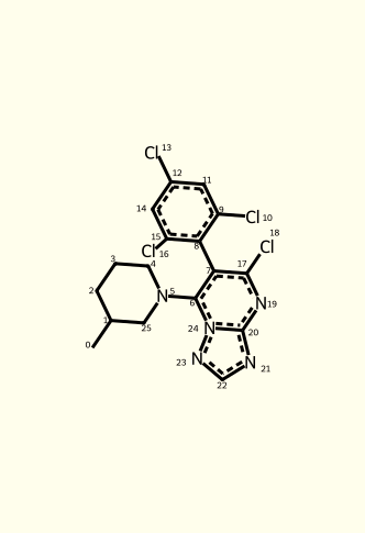 CC1CCCN(c2c(-c3c(Cl)cc(Cl)cc3Cl)c(Cl)nc3ncnn23)C1